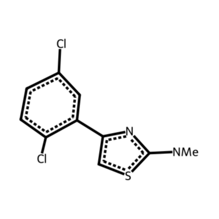 CNc1nc(-c2cc(Cl)ccc2Cl)cs1